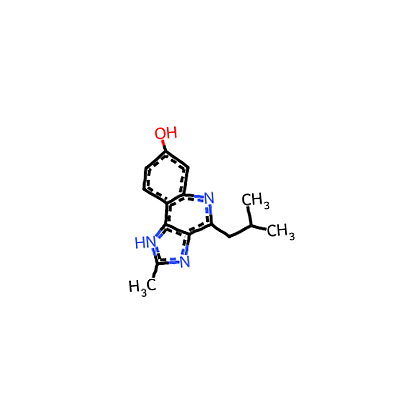 Cc1nc2c(CC(C)C)nc3cc(O)ccc3c2[nH]1